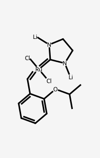 [Li][N]1CC[N]([Li])[C]1=[Ru]([Cl])([Cl])=[CH]c1ccccc1OC(C)C